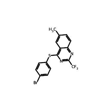 Cc1ccc2nc(C(F)(F)F)nc(Sc3ccc(Br)cc3)c2c1